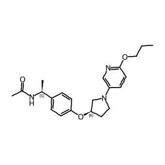 CCCOc1ccc(N2CC[C@@H](Oc3ccc([C@H](C)NC(C)=O)cc3)C2)cn1